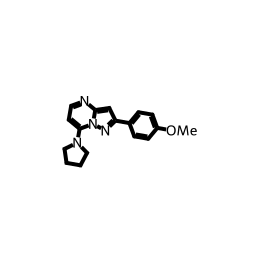 COc1ccc(-c2cc3nccc(N4CCCC4)n3n2)cc1